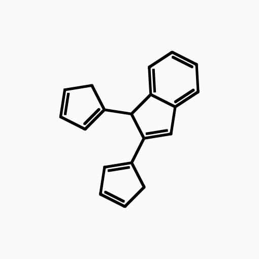 C1=CCC(C2=Cc3ccccc3C2C2=CC=CC2)=C1